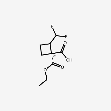 CCOC(=O)[C@]1(C(=O)O)CCC1C(F)F